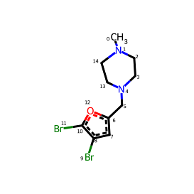 CN1CCN(Cc2cc(Br)c(Br)o2)CC1